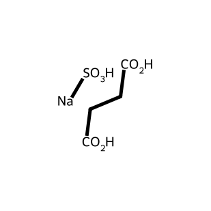 O=C(O)CCC(=O)O.O=[S](=O)(O)[Na]